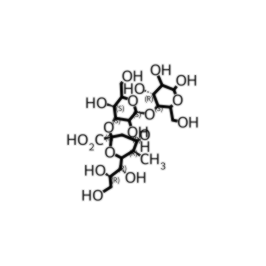 C[C@H]1C([C@H](O)[C@H](O)CO)O[C@@](O[C@@H]2C(O)[C@H](O[C@@H]3C(CO)OC(O)C(O)[C@H]3O)OC(CO)[C@@H]2O)(C(=O)O)C[C@H]1O